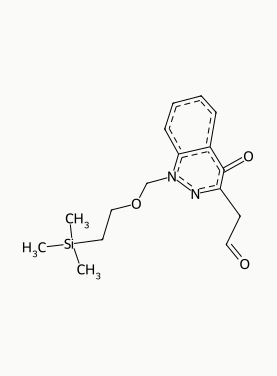 C[Si](C)(C)CCOCn1nc(CC=O)c(=O)c2ccccc21